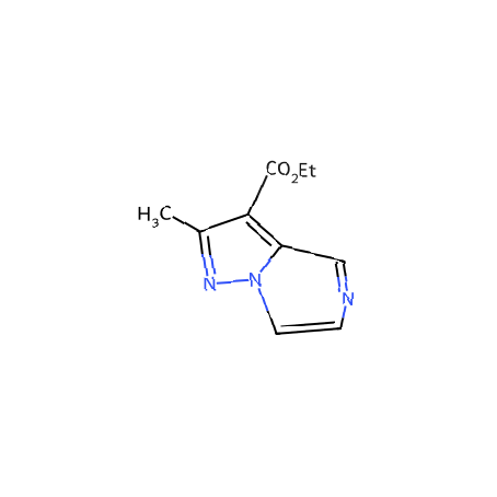 CCOC(=O)c1c(C)nn2ccncc12